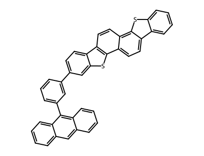 c1cc(-c2ccc3c(c2)sc2c3ccc3c2ccc2c4ccccc4sc23)cc(-c2c3ccccc3cc3ccccc23)c1